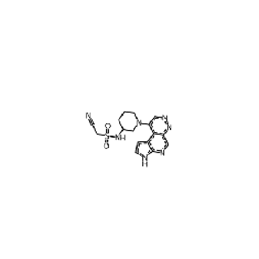 N#CCS(=O)(=O)NC1CCCN(c2cnnc3cnc4[nH]ccc4c23)C1